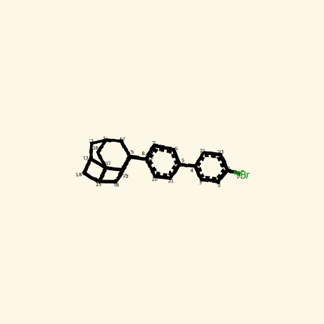 Brc1ccc(-c2ccc(C34CC5CC6CC(C3)C6(C5)C4)cc2)cc1